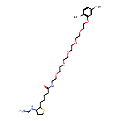 NCNC1CCSC1CCCCC(=O)NCCOCCOCCOCCOCCOCCOc1cc(C=O)ccc1C=O